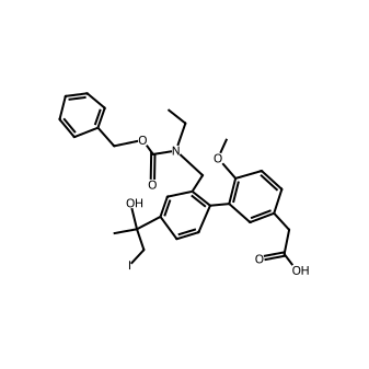 CCN(Cc1cc(C(C)(O)CI)ccc1-c1cc(CC(=O)O)ccc1OC)C(=O)OCc1ccccc1